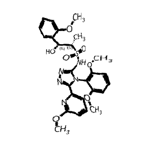 COc1cccc(-c2nnc(NS(=O)(=O)[C@@H](C)[C@@H](O)c3ccccc3OC)n2-c2c(OC)cccc2OC)n1